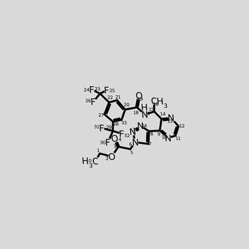 CCOC(=O)Cn1cc(-c2nccnc2C(C)NC(=O)c2cc(C(F)(F)F)cc(C(F)(F)F)c2)nn1